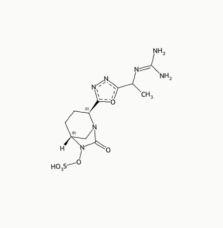 CC(N=C(N)N)c1nnc([C@@H]2CC[C@@H]3CN2C(=O)N3OS(=O)(=O)O)o1